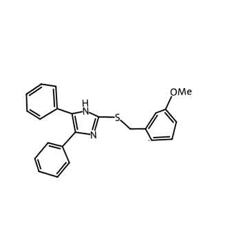 COc1cc[c]c(CSc2nc(-c3ccccc3)c(-c3ccccc3)[nH]2)c1